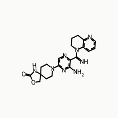 N=C(c1ncc(N2CCC3(CC2)COC(=O)N3)nc1N)N1CCCc2ncccc21